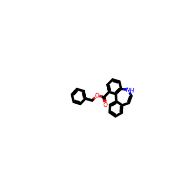 O=C(OCc1ccccc1)c1cccc2c1-c1ccccc1C=CN2